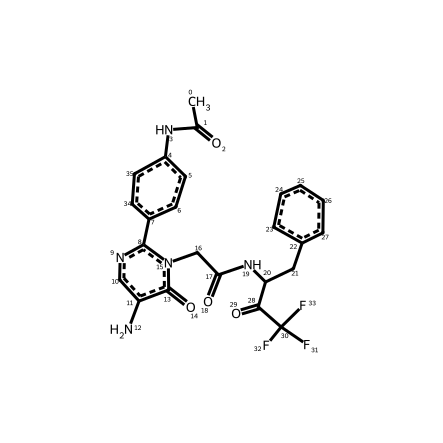 CC(=O)Nc1ccc(-c2ncc(N)c(=O)n2CC(=O)NC(Cc2ccccc2)C(=O)C(F)(F)F)cc1